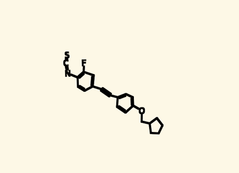 Fc1cc(C#Cc2ccc(OCC3CCCC3)cc2)ccc1N=C=S